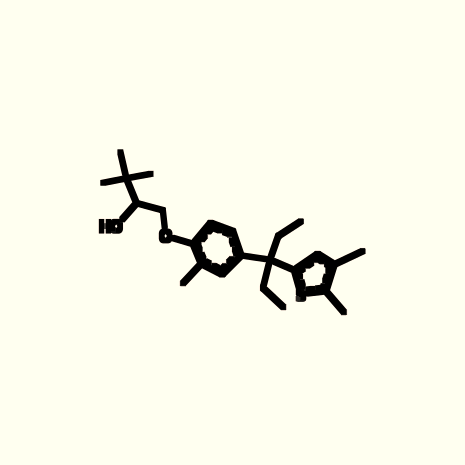 CCC(CC)(c1ccc(OCC(O)C(C)(C)C)c(C)c1)c1cc(C)c(C)s1